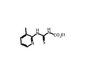 CCOC(=O)NC(=S)Nc1ncccc1C